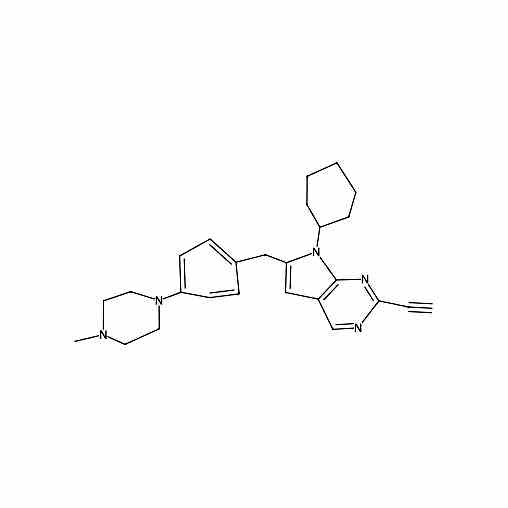 C#Cc1ncc2cc(Cc3ccc(N4CCN(C)CC4)cc3)n(C3CCCCC3)c2n1